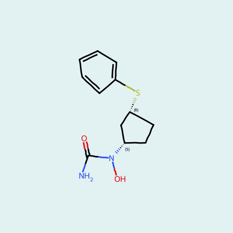 NC(=O)N(O)[C@H]1CC[C@@H](Sc2ccccc2)C1